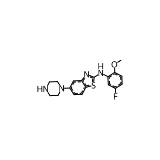 COc1ccc(F)cc1Nc1nc2cc(N3CCNCC3)ccc2s1